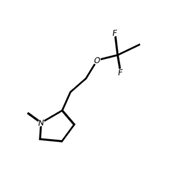 CN1CCCC1CCOC(C)(F)F